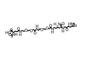 CC(=O)NC(CCC(=O)NCCOCCOCC(=O)NCCOCCOCC(=O)NCCCC[C@H](NCC(=O)CCc1cnc[nH]1)C(N)=O)C(=O)O